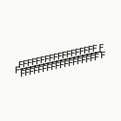 FC(F)C(F)(F)C(F)(F)C(F)(F)C(F)(F)C(F)(F)C(F)(F)C(F)(F)C(F)(F)C(F)(F)C(F)(F)C(F)(F)C(F)(F)C(F)(F)C(F)(F)C(F)(F)C(F)(F)C(F)(F)C(F)(F)F